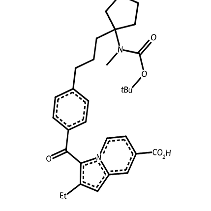 CCc1cc2cc(C(=O)O)ccn2c1C(=O)c1ccc(CCCC2(N(C)C(=O)OC(C)(C)C)CCCC2)cc1